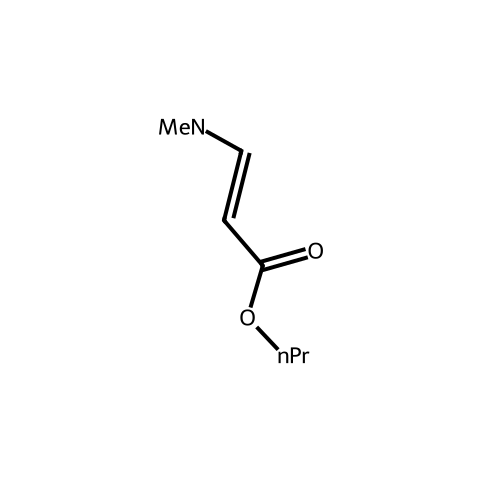 CCCOC(=O)C=CNC